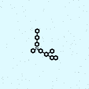 c1ccc(-c2ccc(-c3ccc(N(c4ccccc4)c4ccc(-c5ccc(-c6ccc7ccccc7c6)c(-c6ccccc6)c5)cc4)cc3)cc2)cc1